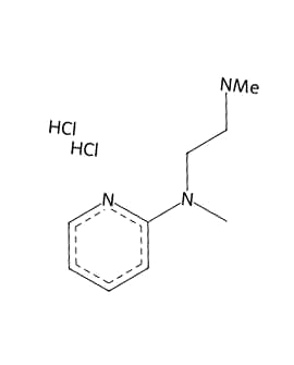 CNCCN(C)c1ccccn1.Cl.Cl